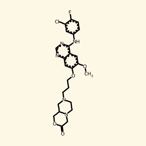 COc1cc2c(Nc3ccc(F)c(Cl)c3)ncnc2cc1OCCCN1CCN2CC(=O)OCC2C1